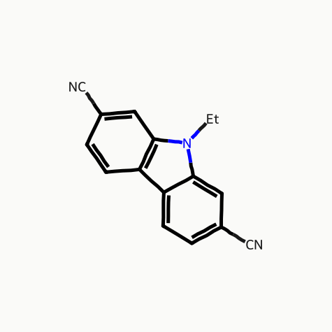 CCn1c2cc(C#N)ccc2c2ccc(C#N)cc21